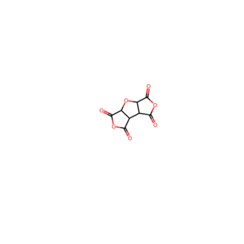 O=C1OC(=O)C2C1OC1C(=O)OC(=O)C12